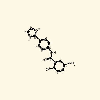 Nc1ccc(Cl)c(C(=O)Nc2ccc(-c3ncco3)cc2)c1